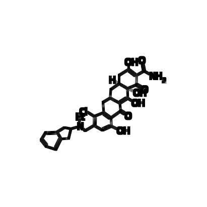 CCN(Cc1cc(O)c2c(c1Cl)CC1C[C@H]3CC(O)=C(C(N)=O)C(=O)[C@@]3(O)C(O)=C1C2=O)C1Cc2ccccc2C1